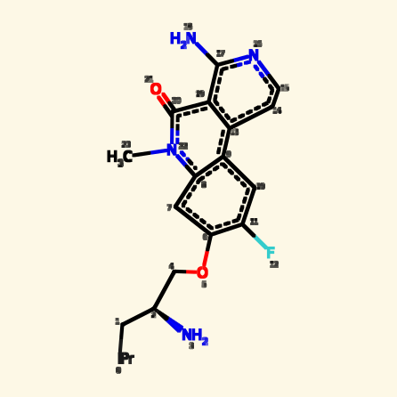 CC(C)C[C@H](N)COc1cc2c(cc1F)c1ccnc(N)c1c(=O)n2C